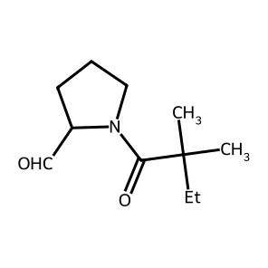 CCC(C)(C)C(=O)N1CCCC1C=O